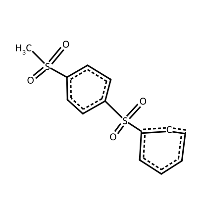 CS(=O)(=O)c1ccc(S(=O)(=O)c2ccccc2)cc1